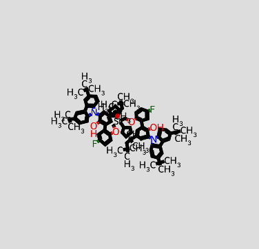 CC(C)(C)CC(C)(C)c1cc(-c2cc(F)ccc2OC[Si](COc2ccc(F)cc2-c2cc(C(C)(C)CC(C)(C)C)cc(-n3c4ccc(C(C)(C)C)cc4c4cc(C(C)(C)C)ccc43)c2O)(C2CCCC2)C2CCCC2)c(O)c(-n2c3ccc(C(C)(C)C)cc3c3cc(C(C)(C)C)ccc32)c1